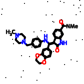 CNC(=O)c1ccc2c(c1)NC(=O)C2=C(Nc1ccc(CN2CCN(C)CC2)cc1)c1ccc2c(c1)OCCO2